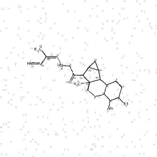 CCCC1C(CC)CCC2C1CCC1(C)C(C(=O)CN/C=C(\C=N)C(F)(F)F)C3CC3C21